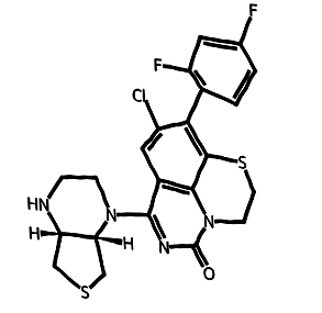 O=c1nc(N2CCN[C@H]3CSC[C@H]32)c2cc(Cl)c(-c3ccc(F)cc3F)c3c2n1CCS3